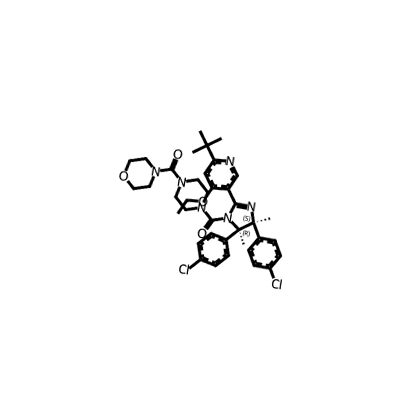 CCOc1cc(C(C)(C)C)ncc1C1=N[C@@](C)(c2ccc(Cl)cc2)[C@@](C)(c2ccc(Cl)cc2)N1C(=O)N1CCN(C(=O)N2CCOCC2)CC1